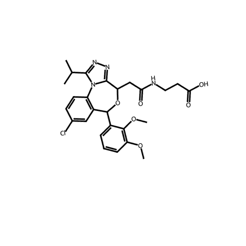 COc1cccc(C2OC(CC(=O)NCCC(=O)O)c3nnc(C(C)C)n3-c3ccc(Cl)cc32)c1OC